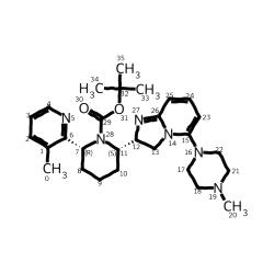 Cc1cccnc1[C@H]1CCC[C@@H](C2CN3C(N4CCN(C)CC4)=CC=CC3=N2)N1C(=O)OC(C)(C)C